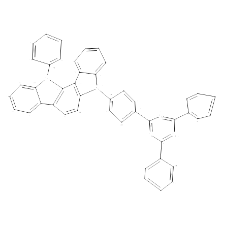 c1ccc(-c2nc(-c3ccccc3)nc(-c3ccc(-n4c5ccccc5c5c4ccc4c6ccccc6n(-c6ccccc6)c45)cc3)n2)cc1